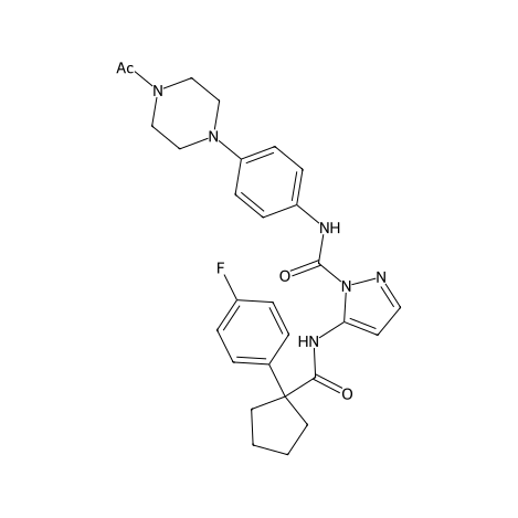 CC(=O)N1CCN(c2ccc(NC(=O)n3nccc3NC(=O)C3(c4ccc(F)cc4)CCCC3)cc2)CC1